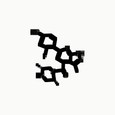 Cc1n[nH]c2nc(-c3ccc(O)cc3F)cc(C(=O)N3C[C@@H](C)NC[C@H]3C)c12